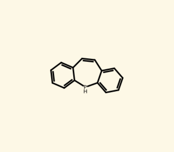 C1=Cc2ccccc2Pc2ccccc21